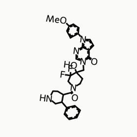 COc1ccc(-n2ccc3c(=O)n(CC4(O)CCN(C(=O)C5CCNCC5c5ccccc5)CC4(F)F)cnc32)cc1